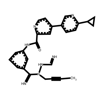 CC#CCN(NC=N)C(=N)c1cccc(NC(=O)c2cc(-c3ccc(C4CC4)nc3)ccn2)c1